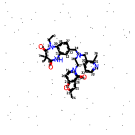 CCN1C(=O)C(C)(C)C(=O)Nc2cc(CN(CCn3ccc4oc(C)cc4c3=O)Cc3cccnc3C)ccc21